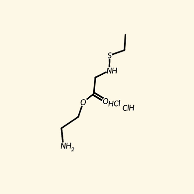 CCSNCC(=O)OCCN.Cl.Cl